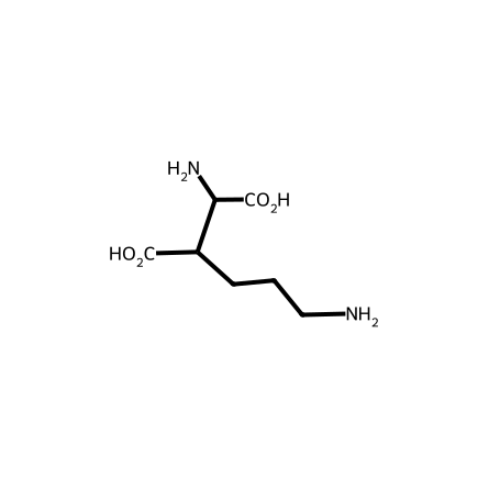 NCCCC(C(=O)O)C(N)C(=O)O